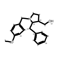 COc1ccc(CN2CCC(CO)C2Cc2ccccc2)cc1